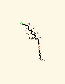 CCCCCCCOCOCCCC(C)CC(C)CC(C)CC(C)CC(C)CC(C)CC(C)CCCCl